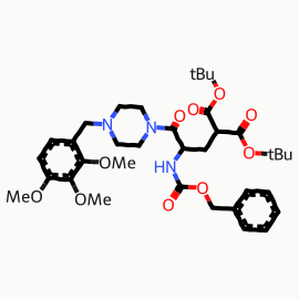 COc1ccc(CN2CCN(C(=O)C(CC(C(=O)OC(C)(C)C)C(=O)OC(C)(C)C)NC(=O)OCc3ccccc3)CC2)c(OC)c1OC